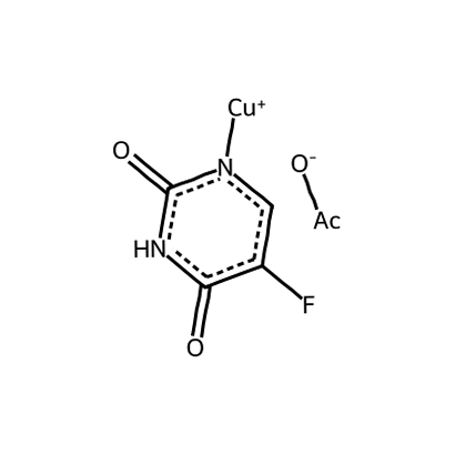 CC(=O)[O-].O=c1[nH]c(=O)[n]([Cu+])cc1F